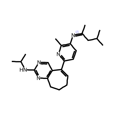 C/C(CC(C)C)=N/c1ccc(C2=CCCCc3nc(NC(C)C)ncc32)nc1C